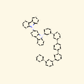 c1ccc(-c2cccc(-c3cccc(-c4ccc(-c5cccc(-c6cccc(-n7c8ccccc8c8ccc(-n9c%10ccccc%10c%10ccccc%109)cc87)c6)c5)cc4)c3)c2)cc1